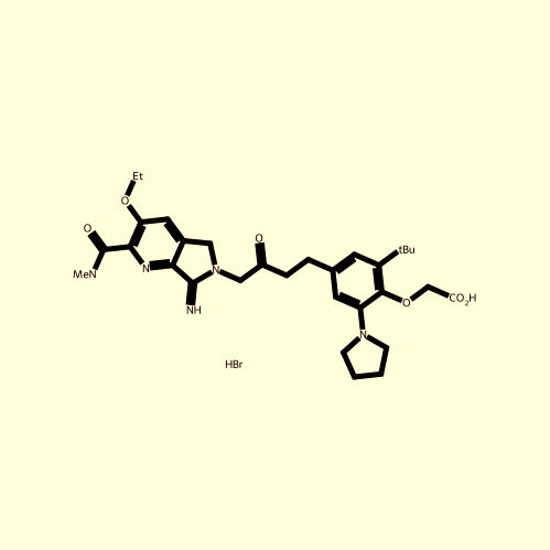 Br.CCOc1cc2c(nc1C(=O)NC)C(=N)N(CC(=O)CCc1cc(N3CCCC3)c(OCC(=O)O)c(C(C)(C)C)c1)C2